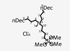 CCCCCCCCCCCCC[N+](C)(CCCCCCCCCCCCC)CCCC[Si](OC)(OC)OC.[Cl-]